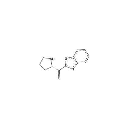 O=C(c1nc2ccccc2s1)[C@@H]1CCCN1